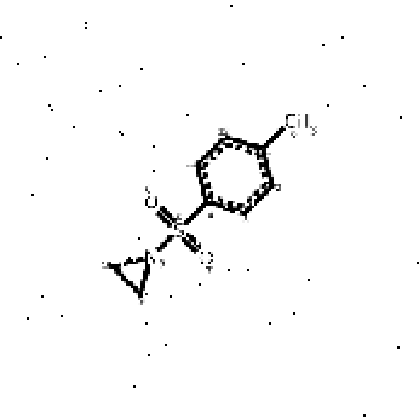 Cc1ccc(S(=O)(=O)N2[CH]C2)cc1